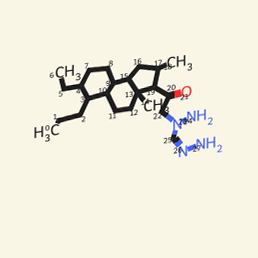 CCCC1C(CC)CCC2C1CCC1(C)C2CC(C)C1C(=O)CN(N)/C=N\N